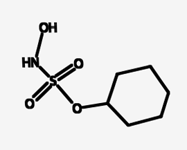 O=S(=O)(NO)OC1CCCCC1